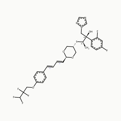 C[C@@H](S[C@H]1CO[C@H](/C=C/C=C/c2ccc(OCC(F)(F)C(F)F)cc2)OC1)[C@](O)(Cn1cncn1)c1ccc(F)cc1F